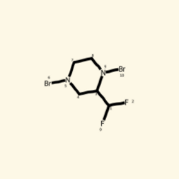 FC(F)C1CN(Br)CCN1Br